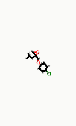 CC(C)CC1(COc2ccc(Cl)cc2)CO1